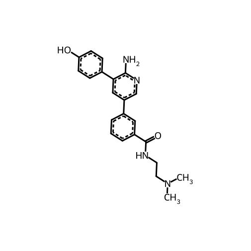 CN(C)CCNC(=O)c1cccc(-c2cnc(N)c(-c3ccc(O)cc3)c2)c1